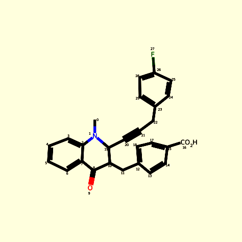 CN1c2ccccc2C(=O)C(Cc2ccc(C(=O)O)cc2)C1C#CCc1ccc(F)cc1